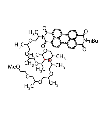 CCCCN1C(=O)c2ccc3c4ccc5c6c(ccc(c7ccc(c2c37)C1=O)c64)C(=O)N(C(C)COC(C)COC(C)COC(C)COC(C)COC(C)COC(C)COC(C)COC(C)COCCOC)C5=O